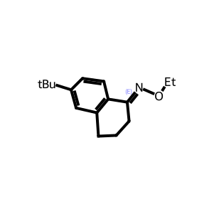 CCO/N=C1\CCCc2cc(C(C)(C)C)ccc21